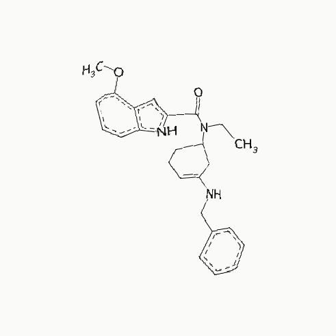 CCN(C(=O)c1cc2c(OC)cccc2[nH]1)C1CCC=C(NCc2ccccc2)C1